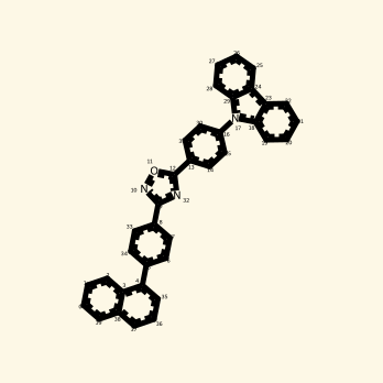 c1ccc2c(-c3ccc(-c4noc(-c5ccc(-n6c7ccccc7c7ccccc76)cc5)n4)cc3)cccc2c1